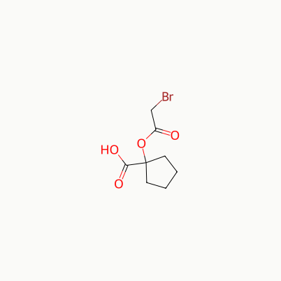 O=C(CBr)OC1(C(=O)O)CCCC1